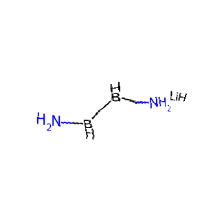 NBBN.[LiH]